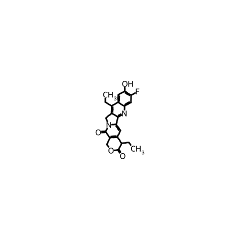 CCc1c2c(nc3cc(F)c(O)cc13)-c1cc3c(c(=O)n1C2)COC(=O)C3CC